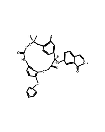 Cc1cc2ccc1[C@@H](C)COC(=O)Nc1ccc(Oc3ccccc3)c(c1)CCC(=O)[C@@H]2Nc1ccc2cc[nH]c(=O)c2c1